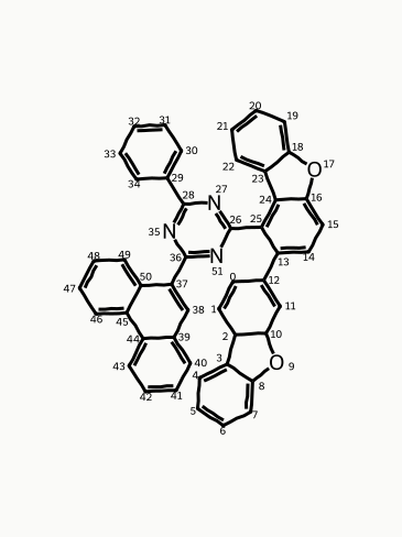 C1=CC2c3ccccc3OC2C=C1c1ccc2oc3ccccc3c2c1-c1nc(-c2ccccc2)nc(-c2cc3ccccc3c3ccccc23)n1